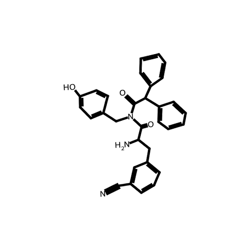 N#Cc1cccc(CC(N)C(=O)N(Cc2ccc(O)cc2)C(=O)C(c2ccccc2)c2ccccc2)c1